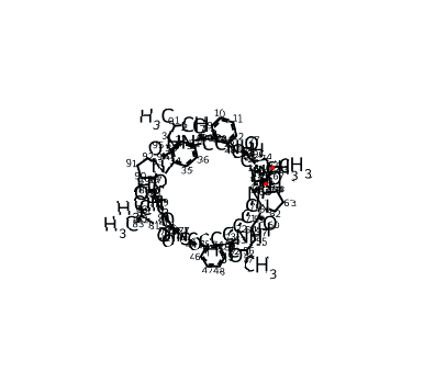 CC(C)C[C@H]1NC(=O)c2ccccc2OCc2nnn(c2CC(C)C[C@H]2C(=O)NCCc3ccc(cc3)OCCOC(=O)COc3ccccc3C(=O)N[C@H](CC(C)C)C(=O)N3CCC[C@@H]3C(=O)N2C)CCCCCCCNC(=O)[C@H](CC(C)C)N(C)C(=O)[C@H]2CCCN2C1=O